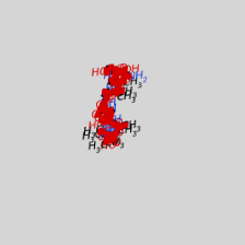 CC[C@H](C)[C@H](NC(=O)[C@H](CCC(=O)O)NC(=O)[C@H](CC(C)C)NC(=O)[C@@H](N)C(C)C)C(=O)NCC(=O)N[C@@H](CC(=O)O)C(=O)N1CCC[C@H]1C(=O)N[C@@H](CCC(=O)O)C(=O)NCC(=O)N1CCC[C@H]1C(=O)N[C@@H](CC(C)C)C(=O)N[C@@H](CC(C)C)C(=O)N1CCC[C@H]1C(=O)N[C@@H](Cc1ccc(O)cc1)C(=O)N[C@@H](CCC(N)=O)C(=O)O